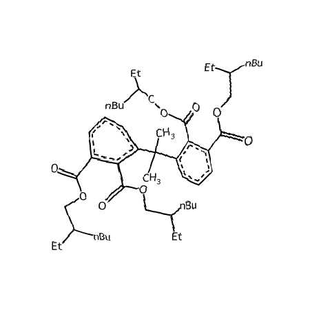 CCCCC(CC)COC(=O)c1cccc(C(C)(C)c2cccc(C(=O)OCC(CC)CCCC)c2C(=O)OCC(CC)CCCC)c1C(=O)OCC(CC)CCCC